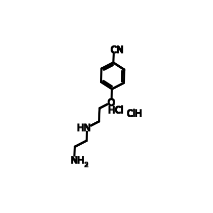 Cl.Cl.N#Cc1ccc(OCCNCCN)cc1